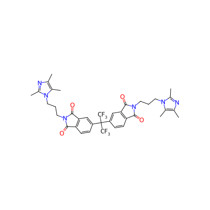 Cc1nc(C)n(CCCN2C(=O)c3ccc(C(c4ccc5c(c4)C(=O)N(CCCn4c(C)nc(C)c4C)C5=O)(C(F)(F)F)C(F)(F)F)cc3C2=O)c1C